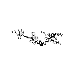 CCCc1nn(C)c2c(=O)n(CCOc3ccc(CC(OCC)C(=O)OC(=O)[C@@H](N)CCCNC(=N)N)cc3)c(C)nc12